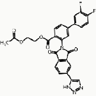 CC(=O)OCCOC(=O)c1ccc(-c2ccc(F)c(F)c2)cc1N1C(=O)c2ccc(-c3cnn[nH]3)cc2C1=O